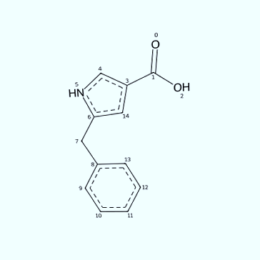 O=C(O)c1c[nH]c(Cc2ccccc2)c1